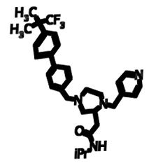 CC(C)NC(=O)CC1CN(Cc2ccc(-c3ccc(C(C)(C)C(F)(F)F)cc3)cc2)CCN1Cc1ccncc1